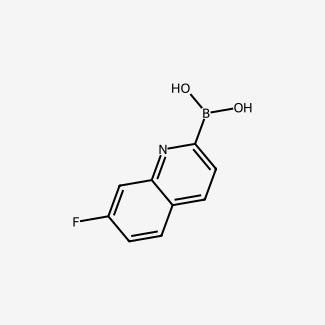 OB(O)c1ccc2ccc(F)cc2n1